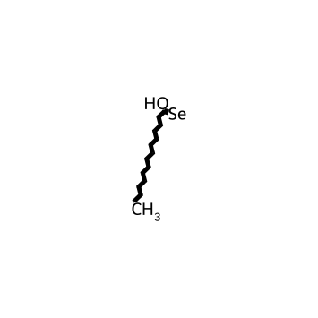 CCCCCCCCCCCCCCC(O)=[Se]